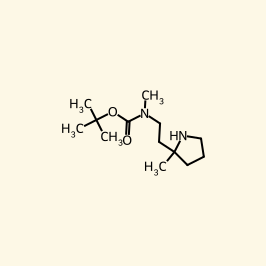 CN(CCC1(C)CCCN1)C(=O)OC(C)(C)C